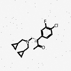 CC(=O)[C@H](CN(CC1CC1)CC1CC1)c1ccc(Cl)c(F)c1